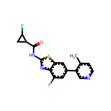 Cc1ccncc1-c1cc(F)c2nc(NC(=O)C3CC3F)sc2c1